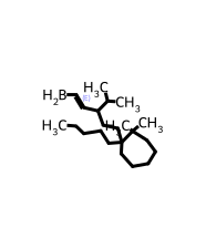 B/C=C/C(CCC1(CCCCC)CCCCCC1(C)C)C(C)C